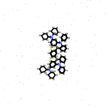 c1ccc(N2c3ccccc3B3c4cc5c(cc4Sc4cc(N(C6CCCCC6)C6CCCCC6)cc2c43)Sc2cc(N(C3CCCCC3)C3CCCCC3)cc3c2B5c2ccccc2N3c2ccccc2)cc1